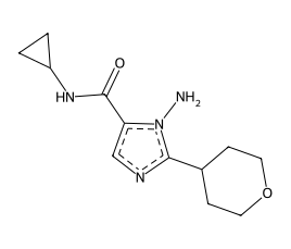 Nn1c(C(=O)NC2CC2)cnc1C1CCOCC1